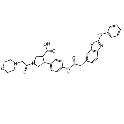 O=C(Cc1ccc2nc(Nc3ccccc3)oc2c1)Nc1ccc(C2CN(C(=O)CN3CCOCC3)CC2C(=O)O)cc1